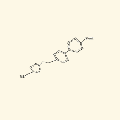 CCCCCc1ccc(-c2ccc(CCc3ccc(CC)cc3)cc2)nc1